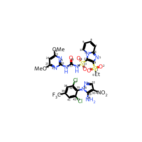 CCS(=O)(=O)c1nc2ccccn2c1S(=O)(=O)NC(=O)Nc1nc(OC)cc(OC)n1.Nc1c([N+](=O)[O-])cnn1-c1c(Cl)cc(C(F)(F)F)cc1Cl